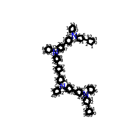 C1=CCC(C2=CCC(N(c3ccccc3)c3ccc(-c4ccc(N(c5ccc(-c6ccc(-c7ccc(N(c8ccccc8)c8ccc(-c9ccc(N(C%10=CC=C(c%11ccccc%11)CC%10)c%10ccccc%10)cc9)cc8)cc7)cc6)cc5)C5C=CC=CC5)cc4)cc3)C=C2)C=C1